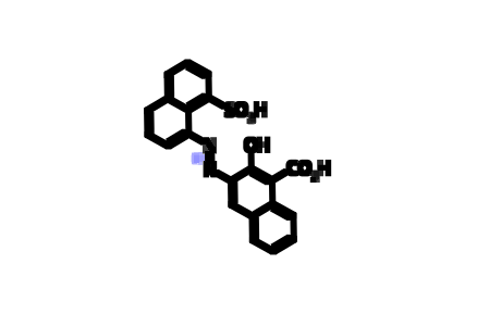 O=C(O)c1c(O)c(/N=N/c2cccc3cccc(S(=O)(=O)O)c23)cc2ccccc12